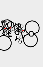 C=C(C)C(=O)OC1(CC(CC2(O)CCCCCCCCCC2)C2(OC(=O)C3(C(C)C)CCCC(CC)(OC(=O)OC4(C5CC6(OC(=O)C(=C)C)CCCCCCCCCCCC78CCCCCCCCCCCC(OC(=O)C(=C)C)(C5)CC(CC7)(CC8)C6)CCCC4)CCC3)CCCC2)CCCCCCCCCCCCCCCCC1